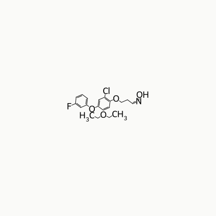 CCOCC.O/N=C\CCOc1ccc(Oc2cccc(F)c2)cc1Cl